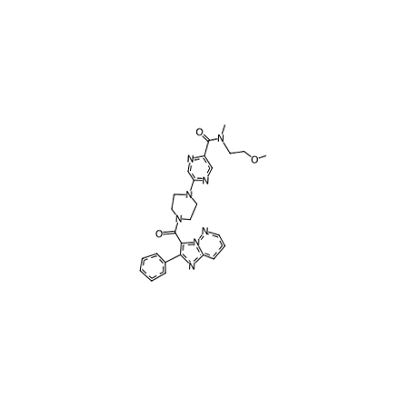 COCCN(C)C(=O)c1cnc(N2CCN(C(=O)c3c(-c4ccccc4)nc4cccnn34)CC2)cn1